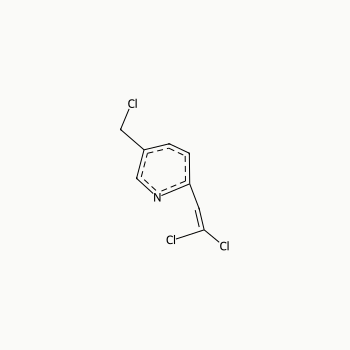 ClCc1ccc(C=C(Cl)Cl)nc1